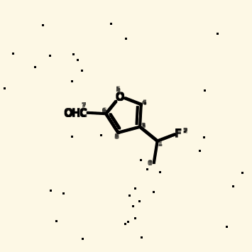 CC(F)c1coc(C=O)c1